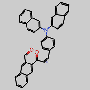 O=Cc1cc2ccccc2cc1C(=O)/C=C\c1ccc(N(c2ccc3ccccc3c2)c2ccc3ccccc3c2)cc1